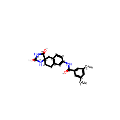 COc1cc(OC)cc(C(=O)Nc2ccc3c(c2)CCC2(C3)NC(=O)NC2=O)c1